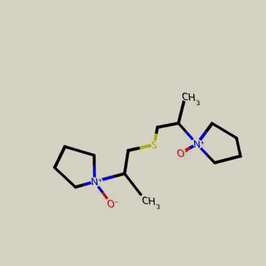 CC(CSCC(C)[N+]1([O-])CCCC1)[N+]1([O-])CCCC1